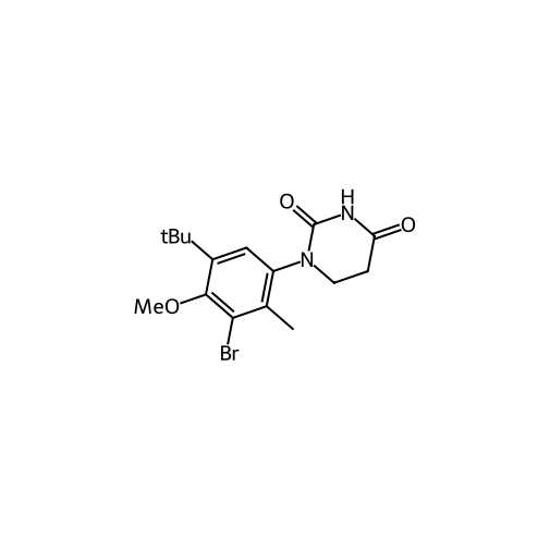 COc1c(C(C)(C)C)cc(N2CCC(=O)NC2=O)c(C)c1Br